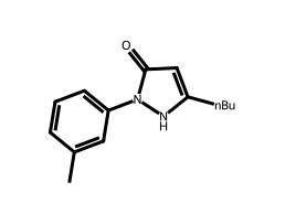 CCCCc1cc(=O)n(-c2cccc(C)c2)[nH]1